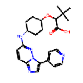 CC(C)(C)C(O[C@H]1CC[C@H](Nc2ccc3ncc(-c4ccncc4)n3n2)CC1)C(=O)O